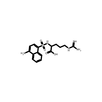 N=C(N)NCCCC(NS(=O)(=O)c1ccc(N)c2ccccc12)C(=O)O